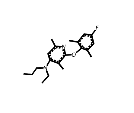 CCCN(CC)c1cc(C)nc(Oc2c(C)cc(F)cc2C)c1C